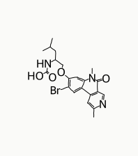 Cc1cc2c(cn1)c(=O)n(C)c1cc(OCC(CC(C)C)NC(=O)O)c(Br)cc21